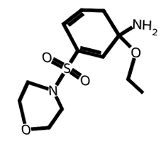 CCOC1(N)C=C(S(=O)(=O)N2CCOCC2)C=CC1